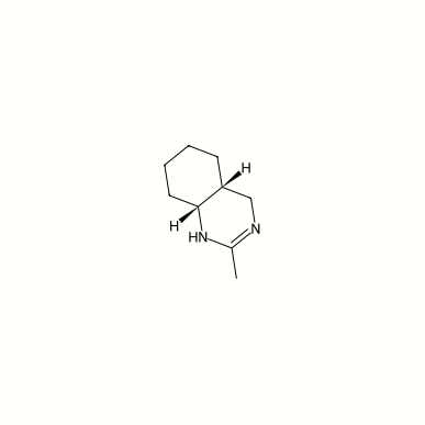 CC1=NC[C@H]2CCCC[C@H]2N1